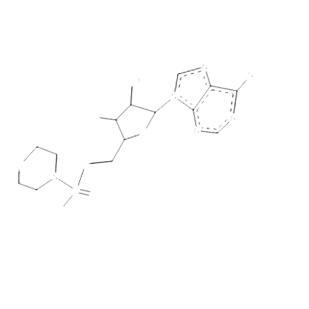 CC(=O)Nc1ncnc2c1ncn2C1OC(COP(=O)(O)N2CCOCC2)C(F)C1OC(C)=O